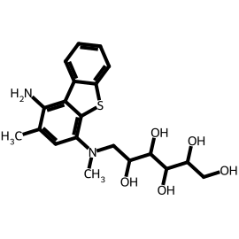 Cc1cc(N(C)CC(O)C(O)C(O)C(O)CO)c2sc3ccccc3c2c1N